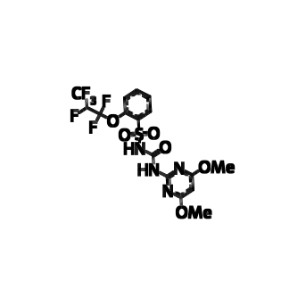 COc1cc(OC)nc(NC(=O)NS(=O)(=O)c2ccccc2OC(F)(F)C(F)C(F)(F)F)n1